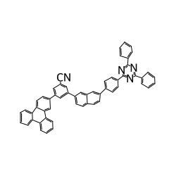 N#Cc1cc(-c2ccc3ccc(-c4ccc(-c5nc(-c6ccccc6)nc(-c6ccccc6)n5)cc4)cc3c2)cc(-c2ccc3c4ccccc4c4ccccc4c3c2)c1